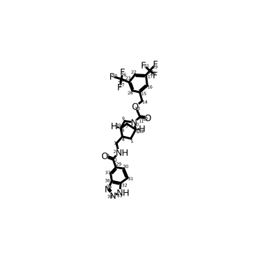 O=C(NCC1C[C@@H]2C[C@H]1CN2C(=O)OCc1cc(C(F)(F)F)cc(C(F)(F)F)c1)c1ccc2[nH]nnc2c1